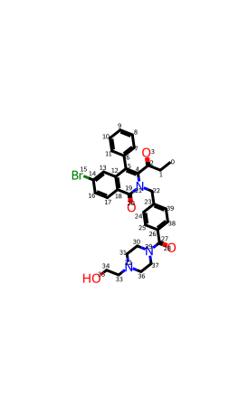 CCC(=O)c1c(-c2ccccc2)c2cc(Br)ccc2c(=O)n1Cc1ccc(C(=O)N2CCN(CCO)CC2)cc1